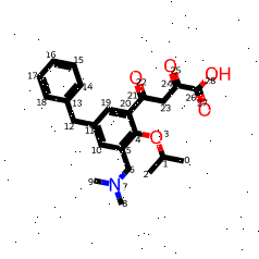 CC(C)Oc1c(CN(C)C)cc(Cc2ccccc2)cc1C(=O)CC(=O)C(=O)O